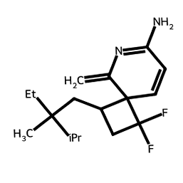 C=C1N=C(N)C=CC12C(CC(C)(CC)C(C)C)CC2(F)F